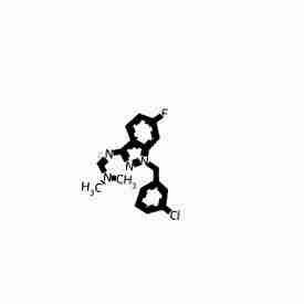 CN(C)/C=N\c1nn(Cc2cccc(Cl)c2)c2cc(F)ccc12